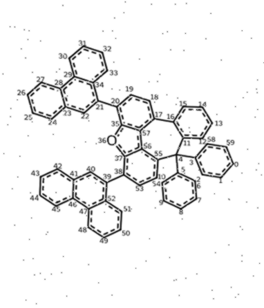 c1ccc(C2(c3ccccc3)c3ccccc3-c3ccc(-c4cc5ccccc5c5ccccc45)c4oc5c(-c6cc7ccccc7c7ccccc67)ccc2c5c34)cc1